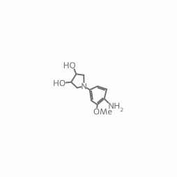 COc1cc(N2CC(O)C(O)C2)ccc1N